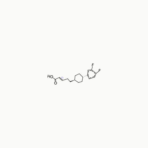 O=C(O)/C=C/CC[C@H]1CC[C@H](c2ccc(F)c(F)c2)CC1